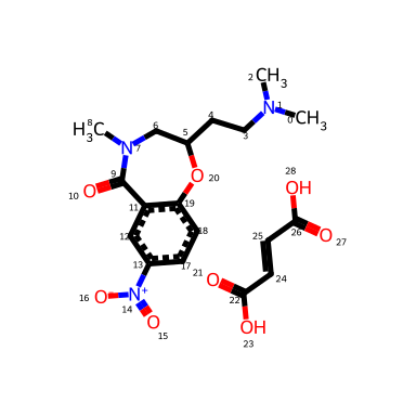 CN(C)CCC1CN(C)C(=O)c2cc([N+](=O)[O-])ccc2O1.O=C(O)C=CC(=O)O